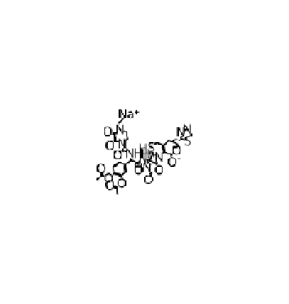 CCN1CCN(C(=O)NC(C(=O)N[C@]2(NC=O)C(=O)N3C(C(=O)[O-])=C(CSc4nncs4)CS[C@@H]32)c2ccc(OC(C)=O)c(OC(C)=O)c2)C(=O)C1=O.[Na+]